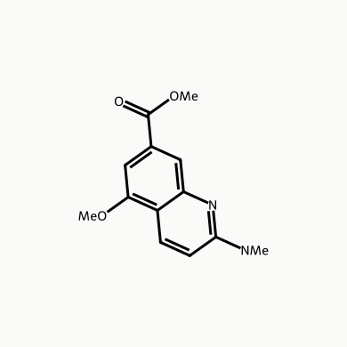 CNc1ccc2c(OC)cc(C(=O)OC)cc2n1